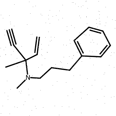 C#CC(C)(C=C)N(C)CCCc1ccccc1